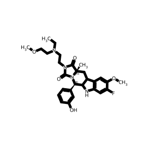 CCN(CCOC)CCN1C(=O)N2[C@H](c3cccc(O)c3)C3Nc4cc(F)c(OC)cc4C3C[C@@]2(C)C1=O